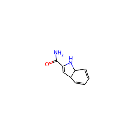 NC(=O)C1=CC2C=CC=CC2N1